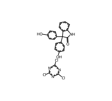 Clc1nc(Cl)nc(Cl)n1.O=C1Nc2ccccc2C1(c1ccc(O)cc1)c1ccc(O)cc1